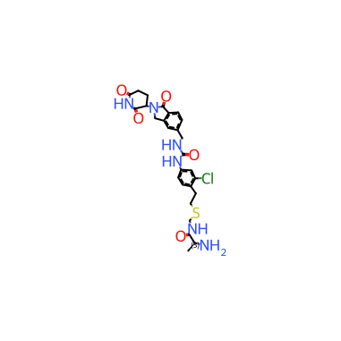 C[C@H](N)C(=O)NCSCCc1ccc(NC(=O)NCc2ccc3c(c2)CN(C2CCC(=O)NC2=O)C3=O)cc1Cl